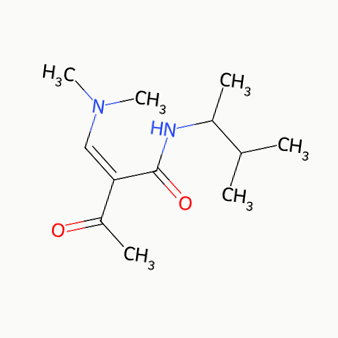 CC(=O)C(=CN(C)C)C(=O)NC(C)C(C)C